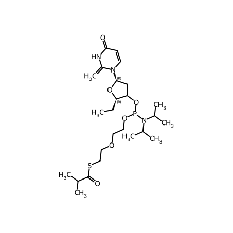 C=C1NC(=O)C=CN1[C@H]1CC(OP(OCCOCCSC(=O)C(C)C)N(C(C)C)C(C)C)[C@@H](CC)O1